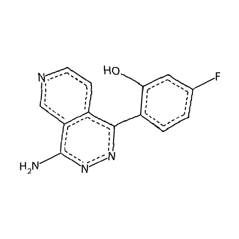 Nc1nnc(-c2ccc(F)cc2O)c2ccncc12